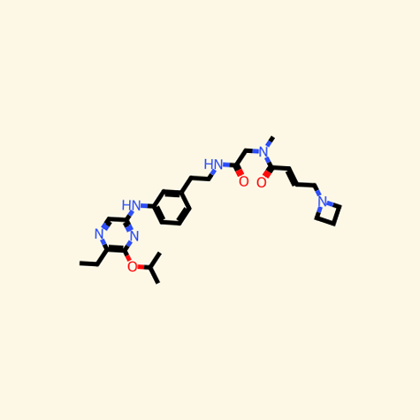 CCc1ncc(Nc2cccc(CCNC(=O)CN(C)C(=O)/C=C/CN3CCC3)c2)nc1OC(C)C